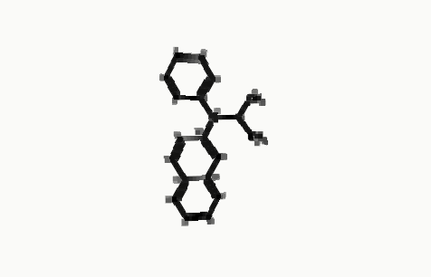 CC(C)N(c1ccccc1)c1ccc2ccccc2c1